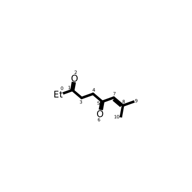 CCC(=O)CCC(=O)C=C(C)C